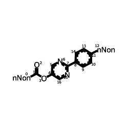 CCCCCCCCCC(=O)Oc1cnc(-c2ccc(CCCCCCCCC)cc2)nc1